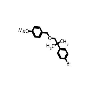 COc1ccc(COCC(C)(C)c2ccc(Br)cc2)cc1